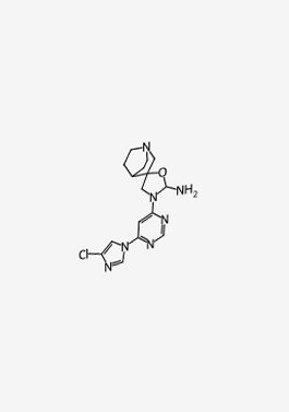 NC1OC2(CN3CCC2CC3)CN1c1cc(-n2cnc(Cl)c2)ncn1